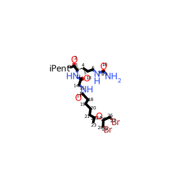 CCCC(C)C(=O)[C@H](CCCNC(N)=O)NC(=O)CNC(=O)CCCCC(C)OC(CBr)CBr